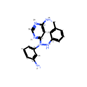 Cc1cccc(NN(c2cccc(N)c2)c2cc(N)ncn2)c1